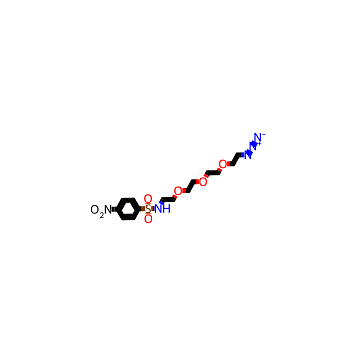 [N-]=[N+]=NCCOCCOCCOCCNS(=O)(=O)c1ccc([N+](=O)[O-])cc1